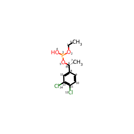 CCOP(O)O[C@H](C)c1ccc(Cl)c(Cl)c1